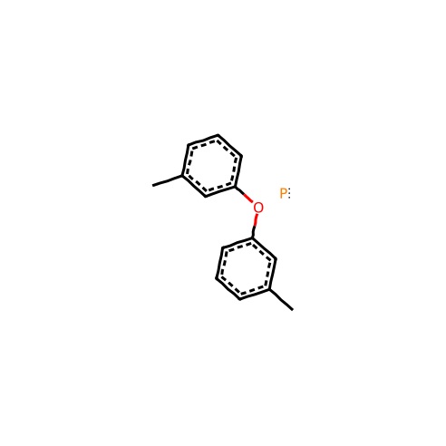 Cc1cccc(Oc2cccc(C)c2)c1.[P]